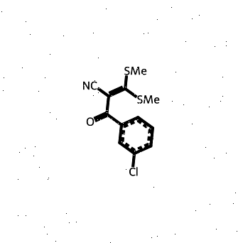 CSC(SC)=C(C#N)C(=O)c1cccc(Cl)c1